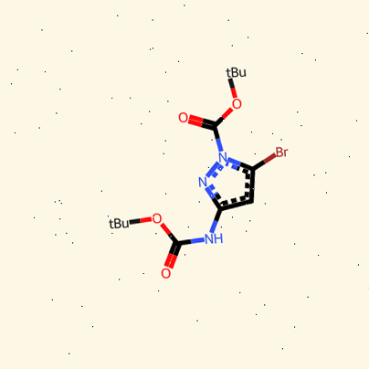 CC(C)(C)OC(=O)Nc1cc(Br)n(C(=O)OC(C)(C)C)n1